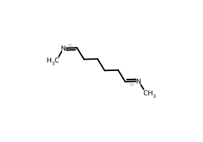 C/N=C\CCCC/C=N/C